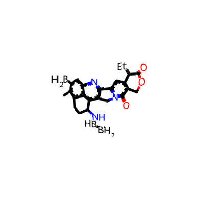 BBNC1CCc2c(C)c(B)cc3nc4c(c1c23)Cn1c-4cc2c(c1=O)COC(=O)C2CC